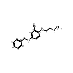 COCCOc1ccc(OCc2ccccc2)cc1Br